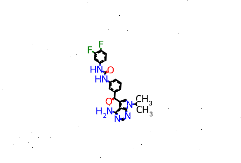 CC(C)n1cc(C(=O)c2cccc(NC(=O)Nc3ccc(F)c(F)c3)c2)c2c(N)ncnc21